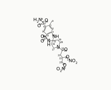 Cc1cc2c(cc1S(N)(=O)=O)S(=O)(=O)NC1(CCN(C(=O)CC(CO[N+](=O)[O-])O[N+](=O)[O-])CC1)N2